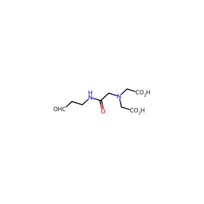 O=CCCNC(=O)CN(CC(=O)O)CC(=O)O